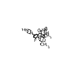 C[C@@H]1CN2c3c(F)cc(N4CCNCC4)cc3CC3(C(=O)NC(=O)NC3=O)[C@H]2[C@H](C)O1